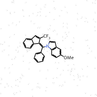 COc1ccc2c(ccn2C(=C2C(C(F)(F)F)=Cc3ccccc32)c2ccccc2)c1